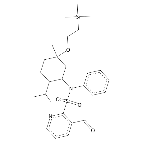 CC(C)C1CCC(C)(OCC[Si](C)(C)C)CC1N(c1ccccc1)S(=O)(=O)c1ncccc1C=O